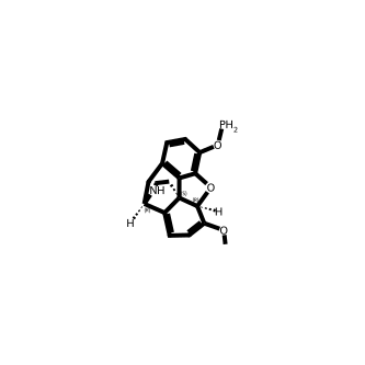 COC1=CC=C2[C@H]3Cc4ccc(OP)c5c4[C@@]2(CCN3)[C@H]1O5